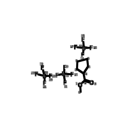 COC(=O)C1CCCC1.F[B-](F)(F)F.F[B-](F)(F)F.F[B-](F)(F)F